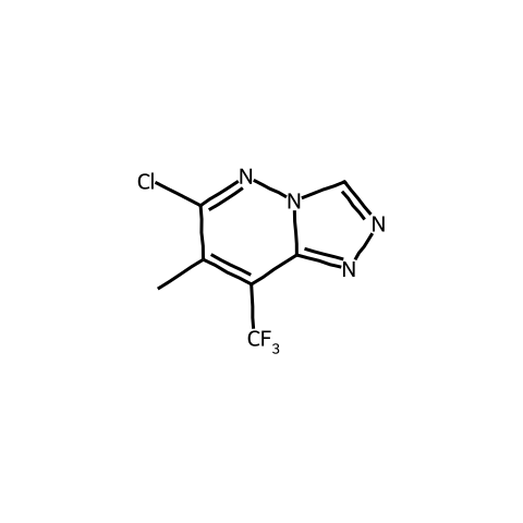 Cc1c(Cl)nn2cnnc2c1C(F)(F)F